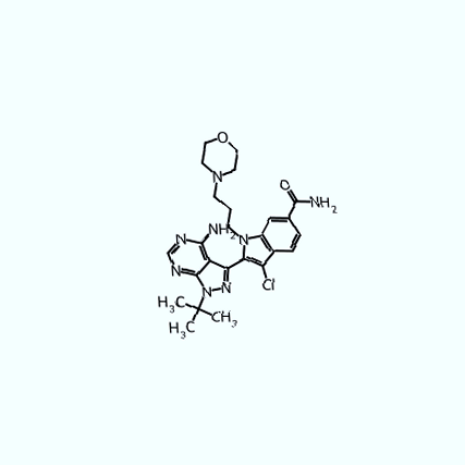 CC(C)(C)n1nc(-c2c(Cl)c3ccc(C(N)=O)cc3n2CCCN2CCOCC2)c2c(N)ncnc21